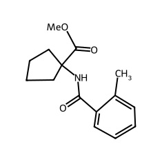 COC(=O)C1(NC(=O)c2ccccc2C)CCCC1